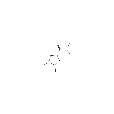 C[C@@H]1C[C@H](C(=O)N(C)C)CN1C